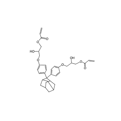 C=CC(=O)OCC(O)COc1ccc(C2(c3ccc(OCC(O)COC(=O)C=C)cc3)C3CC4CC(C3)CC2C4)cc1